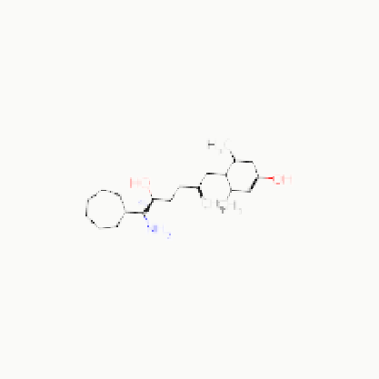 C=C(CC/C(O)=C(\N)C1CCCCCC1)CC1C(C)C=C(O)CC1C